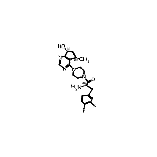 C[C@@H]1C[C@H](O)c2ncnc(N3CCN(C(=O)[C@H](N)Cc4ccc(F)c(F)c4)CC3)c21